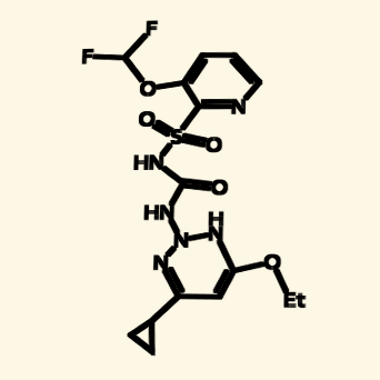 CCOC1=CC(C2CC2)=NN(NC(=O)NS(=O)(=O)c2ncccc2OC(F)F)N1